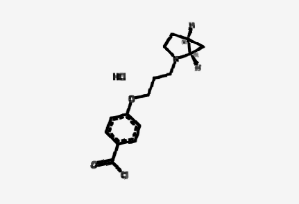 Cl.O=C(Cl)c1ccc(OCCCN2CC[C@@H]3C[C@@H]32)cc1